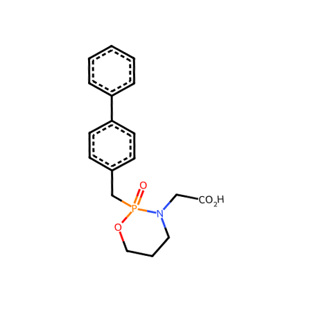 O=C(O)CN1CCCOP1(=O)Cc1ccc(-c2ccccc2)cc1